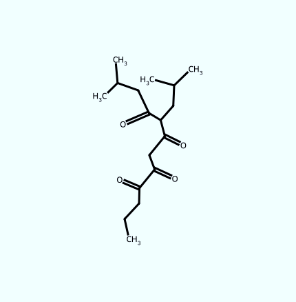 CCCC(=O)C(=O)CC(=O)C(CC(C)C)C(=O)CC(C)C